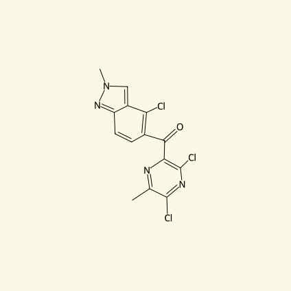 Cc1nc(C(=O)c2ccc3nn(C)cc3c2Cl)c(Cl)nc1Cl